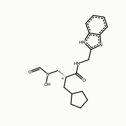 O=CN(O)C[C@@H](CC1CCCC1)C(=O)NCc1nc2ccccc2[nH]1